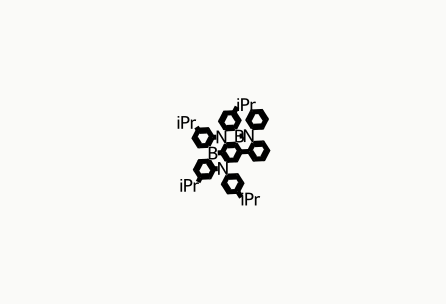 CC(C)c1ccc(N2c3cc(C(C)C)ccc3B3c4ccc(C(C)C)cc4N4c5ccc(C(C)C)cc5B5c6c(cc2c3c64)-c2ccccc2N5c2ccccc2)cc1